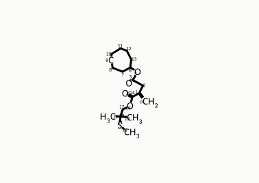 C=C(CC(=O)OC1CCCCCCC1)C(=O)OCC(C)(C)SC